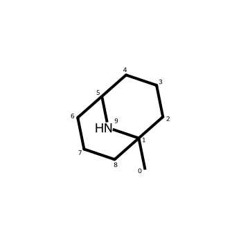 CC12CCCC(CCC1)N2